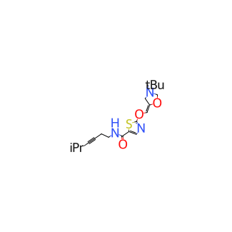 CC(C)C#CCCNC(=O)c1cnc(OC=C2CN(C(C)(C)C)CO2)s1